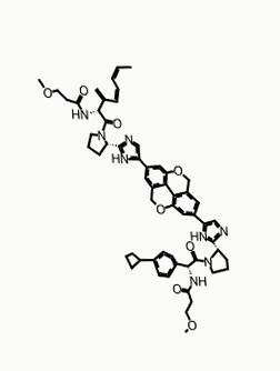 C=C(/C=C\C=C/C)[C@@H](NC(=O)CCOC)C(=O)N1CCC[C@H]1c1ncc(-c2cc3c4c(c2)OCc2cc(-c5cnc([C@@H]6CCCN6C(=O)[C@H](NC(=O)CCOC)c6ccc(C7CCC7)cc6)[nH]5)cc(c2-4)OC3)[nH]1